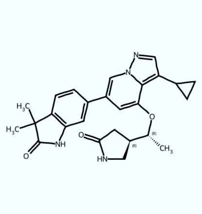 C[C@@H](Oc1cc(-c2ccc3c(c2)NC(=O)C3(C)C)cn2ncc(C3CC3)c12)[C@H]1CNC(=O)C1